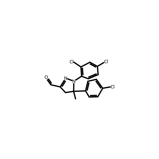 CC1(c2ccc(Cl)cc2)CC(C=O)=NN1c1ccc(Cl)cc1Cl